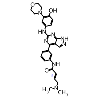 CN(C)C/C=C/C(=O)Nc1cccc(-c2nc(Nc3ccc(O)c(N4CCOCC4)c3)nc3[nH]ncc23)c1